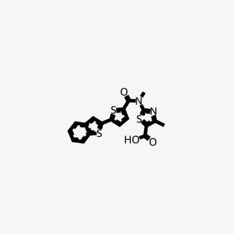 Cc1nc(N(C)C(=O)c2ccc(-c3cc4ccccc4s3)s2)sc1C(=O)O